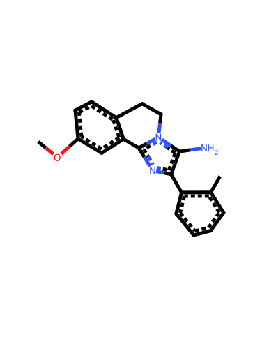 COc1ccc2c(c1)-c1nc(-c3ccccc3C)c(N)n1CC2